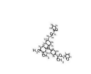 C=C(OCc1ccco1)c1ccc(N(c2ccc(CCOCc3ccco3)cc2)c2ccc(C)c(C)c2)cc1